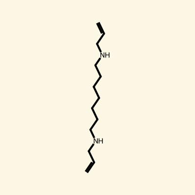 C=CCNCCCCCCCNCC=C